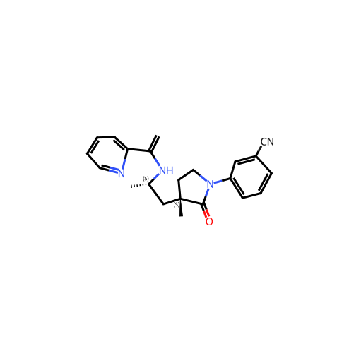 C=C(N[C@@H](C)C[C@]1(C)CCN(c2cccc(C#N)c2)C1=O)c1ccccn1